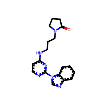 O=C1CCCN1CCCNc1ccnc(-n2cnc3ccccc32)n1